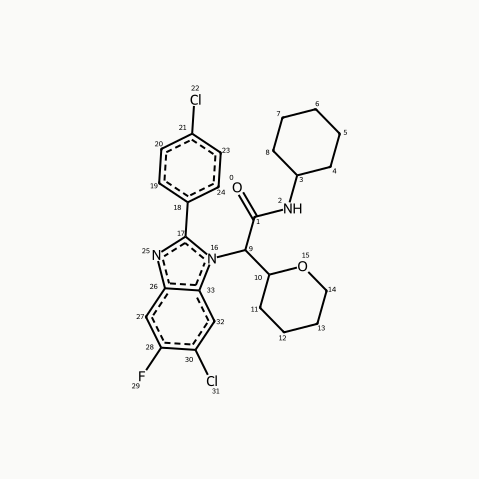 O=C(NC1CCCCC1)C(C1CCCCO1)n1c(-c2ccc(Cl)cc2)nc2cc(F)c(Cl)cc21